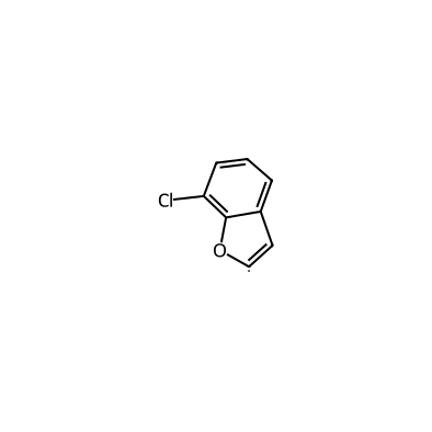 Clc1cccc2c[c]oc12